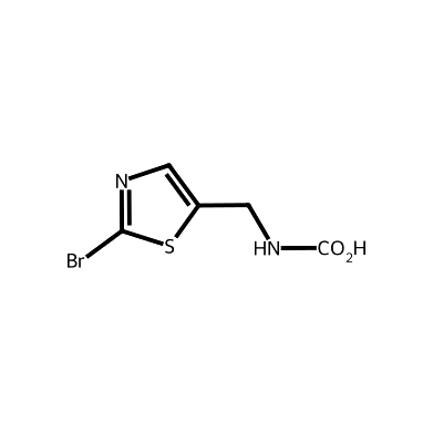 O=C(O)NCc1cnc(Br)s1